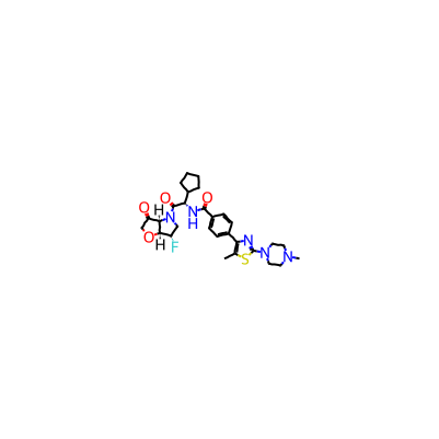 Cc1sc(N2CCN(C)CC2)nc1-c1ccc(C(=O)N[C@H](C(=O)N2C[C@H](F)[C@H]3OCC(=O)[C@H]32)C2CCCC2)cc1